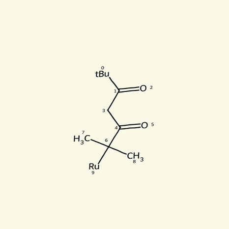 CC(C)(C)C(=O)CC(=O)[C](C)(C)[Ru]